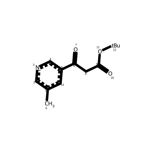 Cc1cncc(C(=O)CC(=O)OC(C)(C)C)c1